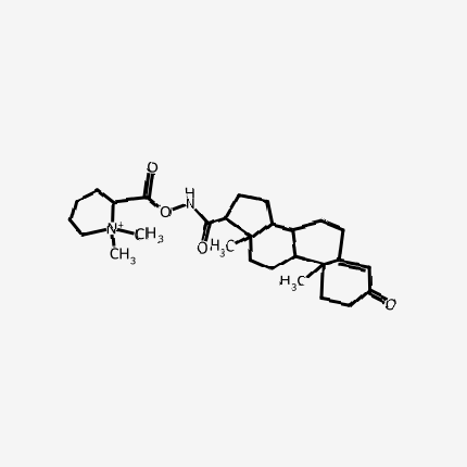 CC12CCC(=O)C=C1CCC1C2CCC2(C)C(C(=O)NOC(=O)C3CCCC[N+]3(C)C)CCC12